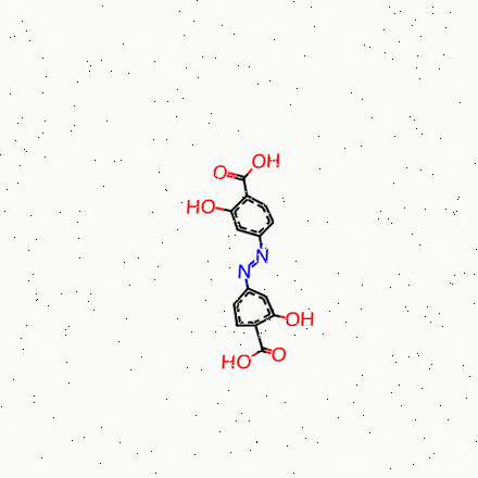 O=C(O)c1ccc(/N=N/c2ccc(C(=O)O)c(O)c2)cc1O